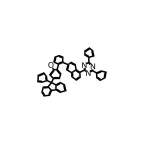 c1ccc(-c2nc(-c3ccccc3)nc(-c3cccc4cc(-c5cccc6oc7cc(C8(c9ccccc9)c9ccccc9-c9ccccc98)ccc7c56)ccc34)n2)cc1